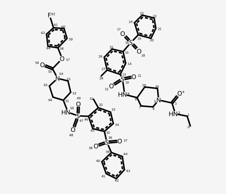 CCNC(=O)N1CCC(NS(=O)(=O)c2cc(S(=O)(=O)c3ccccc3)ccc2C)CC1.Cc1ccc(S(=O)(=O)c2ccccc2)cc1S(=O)(=O)NC1CCN(C(=O)Oc2ccc(F)cc2)CC1